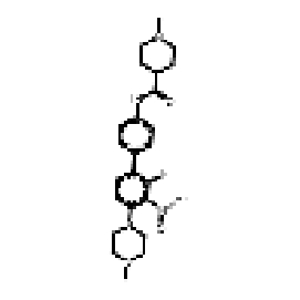 CN1CCC(C(=O)Nc2ccc(-c3ccc(N4CCN(C)CC4)c([N+](=O)[O-])c3F)cc2)CC1